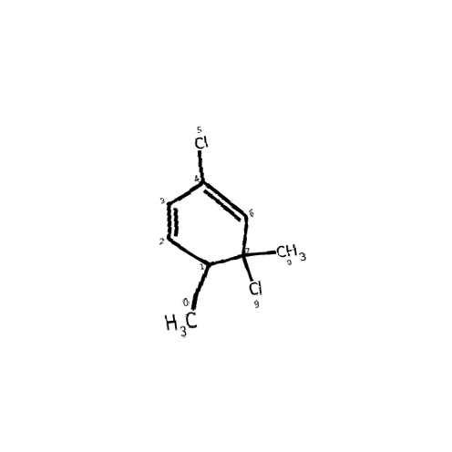 CC1C=CC(Cl)=CC1(C)Cl